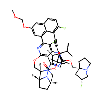 COCOc1cc(-c2nc3c4c(nc(OC[C@]56CCCN5C[C@H](F)C6)nc4c2F)N2C[C@@H]4CC[C@H]([C@H]2CO3)N4C(=O)OC(C)(C)C)c2c(C#C[Si](C(C)C)(C(C)C)C(C)C)c(F)ccc2c1